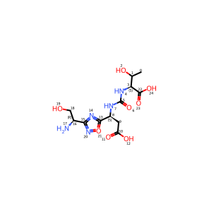 CC(O)[C@H](NC(=O)N[C@@H](CC(=O)O)c1nc([C@@H](N)CO)no1)C(=O)O